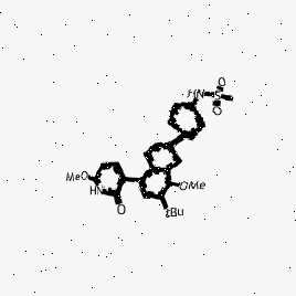 COc1ccc(-c2cc(C(C)(C)C)c(OC)c3cc(-c4ccc(NS(C)(=O)=O)cc4)ccc23)c(=O)[nH]1